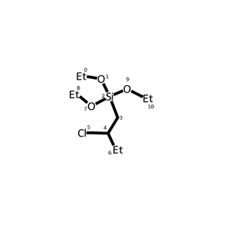 CCO[Si](CC(Cl)CC)(OCC)OCC